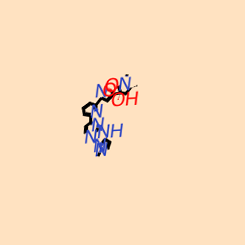 C[C@@H]1C[C@@](O)(c2cc(-c3cccc(-c4ccnc(Nc5ccn(C)n5)n4)n3)no2)C(=O)N1C